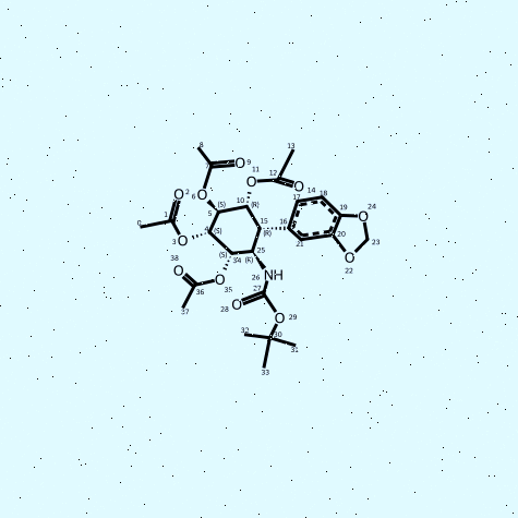 CC(=O)O[C@@H]1[C@@H](OC(C)=O)[C@H](OC(C)=O)[C@H](c2ccc3c(c2)OCO3)[C@@H](NC(=O)OC(C)(C)C)[C@@H]1OC(C)=O